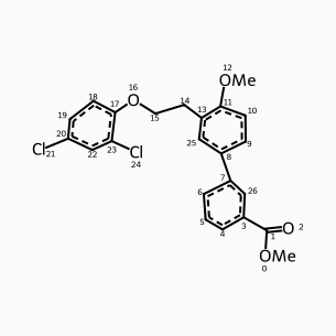 COC(=O)c1cccc(-c2ccc(OC)c(CCOc3ccc(Cl)cc3Cl)c2)c1